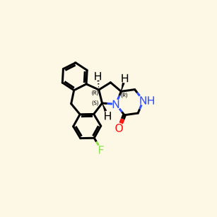 O=C1CNC[C@H]2C[C@@H]3c4ccccc4Cc4ccc(F)cc4[C@H]3N12